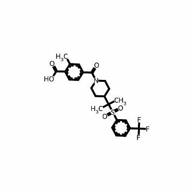 Cc1cc(C(=O)N2CCC(C(C)(C)S(=O)(=O)c3cccc(C(F)(F)F)c3)CC2)ccc1C(=O)O